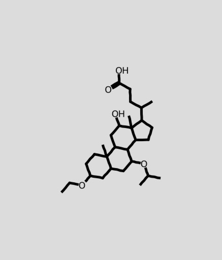 CCOC1CCC2(C)C(C1)CC(OC(C)C)C1C2CC(O)C2(C)C(C(C)CCC(=O)O)CCC12